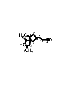 C=CCC1(C(=O)O)CC(CCC#N)CC1C